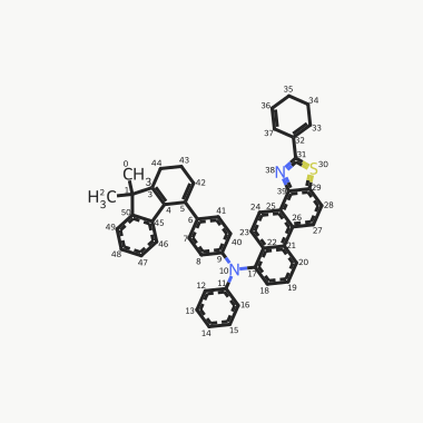 CC1(C)C2=C(C(c3ccc(N(c4ccccc4)c4cccc5c4ccc4c5ccc5sc(C6=CCCC=C6)nc54)cc3)=CCC2)c2ccccc21